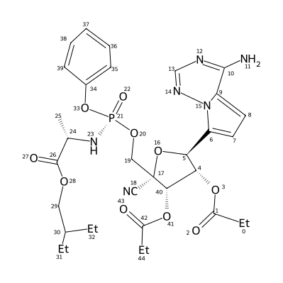 CCC(=O)O[C@H]1[C@H](c2ccc3c(N)ncnn23)O[C@](C#N)(CO[P@@](=O)(N[C@@H](C)C(=O)OCC(CC)CC)Oc2ccccc2)[C@H]1OC(=O)CC